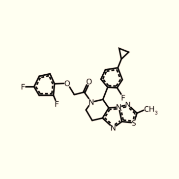 Cc1nn2c3c(nc2s1)CCN(C(=O)COc1ccc(F)cc1F)C3c1ccc(C2CC2)cc1F